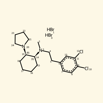 Br.Br.CN(CCc1ccc(Cl)c(Cl)c1)[C@H]1CCCC[C@H]1N1CCCC1